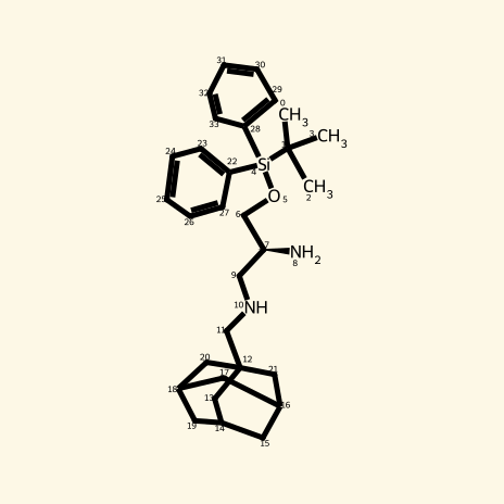 CC(C)(C)[Si](OC[C@@H](N)CNCC12CC3CC(CC(C3)C1)C2)(c1ccccc1)c1ccccc1